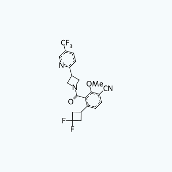 COc1c(C#N)ccc(C2CC(F)(F)C2)c1C(=O)N1CC(c2ccc(C(F)(F)F)cn2)C1